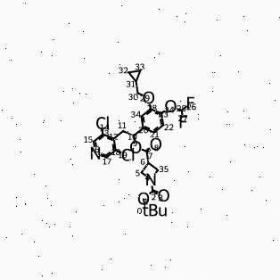 CC(C)(C)OC(=O)N1CC(C(=O)O[C@@H](Cc2c(Cl)cncc2Cl)c2ccc(OC(F)F)c(OCC3CC3)c2)C1